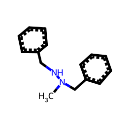 CN(Cc1ccccc1)NCc1ccccc1